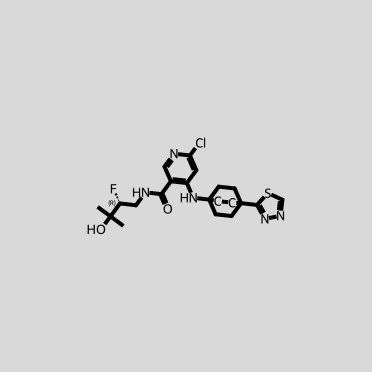 CC(C)(O)[C@H](F)CNC(=O)c1cnc(Cl)cc1NC12CCC(c3nncs3)(CC1)CC2